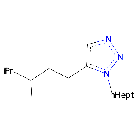 CCCCCCCn1nncc1CCC(C)C(C)C